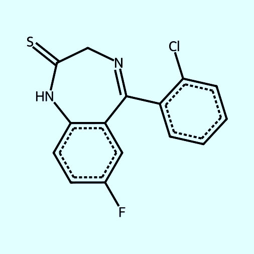 Fc1ccc2c(c1)C(c1ccccc1Cl)=NCC(=S)N2